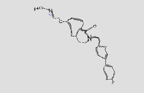 O=C1c2ccc(OC/C=N/O)cc2CCN1Cc1ccc(-c2ccc(F)cc2)cc1